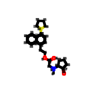 CN(CC(=O)OCCc1ccc([S+]2CCCC2)c2ccccc12)C1CCCC1=O